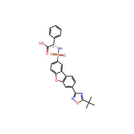 CC(C)(C)c1nc(-c2ccc3c(c2)oc2ccc(S(=O)(=O)N[C@H](C(=O)O)c4ccccc4)cc23)no1